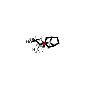 CC(C)(C)OC(=O)N1C2CCC1CC([C@@H](N)CO)C2